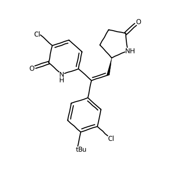 CC(C)(C)c1ccc(C(=C[C@H]2CCC(=O)N2)c2ccc(Cl)c(=O)[nH]2)cc1Cl